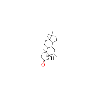 CC1CC2C(CCC3(C)C2CCC3(C)C)C2(C)CCC(=O)C[C@@H]12